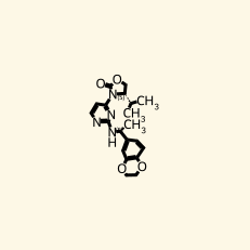 CC(C)[C@H]1COC(=O)N1c1ccnc(N[C@@H](C)c2ccc3c(c2)OCCO3)n1